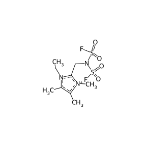 CCn1c(C)c(C)[n+](C)c1CN(S(=O)(=O)F)S(=O)(=O)F